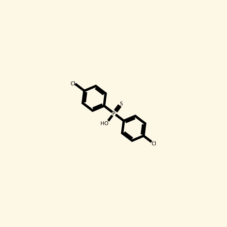 OP(=S)(c1ccc(Cl)cc1)c1ccc(Cl)cc1